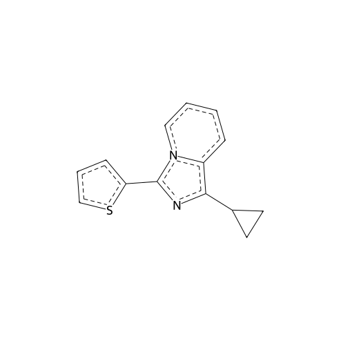 c1csc(-c2nc(C3CC3)c3ccccn23)c1